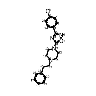 Clc1ccc(-c2noc(N3CCN(CCc4ccccc4)CC3)n2)cc1